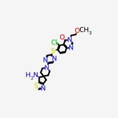 COCCn1cnc2ccc(Sc3cnc(N4CCC5(CC4)Cc4ncsc4[C@@H]5N)cn3)c(Cl)c2c1=O